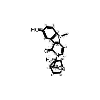 Cn1c2ccc(O)cc2c2c(=O)n([C@H]3CN4CCC3CC4)ccc21